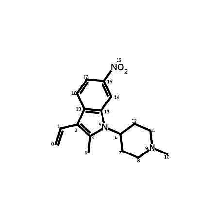 C=Cc1c(C)n(C2CCN(C)CC2)c2cc([N+](=O)[O-])ccc12